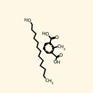 CCCCCCCCCCCCCO.Cc1c(C(=O)O)cccc1C(=O)O